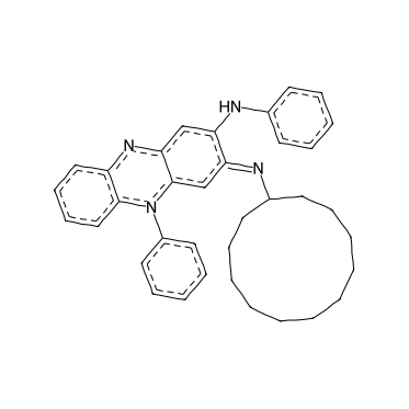 c1ccc(Nc2cc3nc4ccccc4n(-c4ccccc4)c-3cc2=NC2CCCCCCCCCCC2)cc1